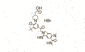 Br.CNC(=O)c1cc2c(cc1N(C)C)CN(CC(=O)c1cc(N3CCC(CC(=O)O)CC3)c(OC)c(C(C)(C)C)c1)C2=N